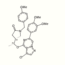 COc1ccc(CN2C[C@H]([C@@H](C)Oc3nc(-c4ccc(OC)c(OC)c4)cn4ncc(Cl)c34)CC2=O)cc1